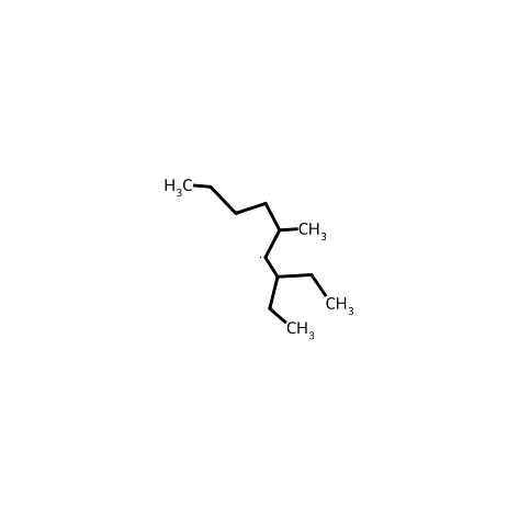 CCCCC(C)[CH]C(CC)CC